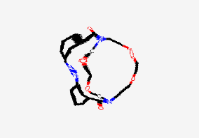 O=C1c2cccc(c2)/N=N/c2cccc(c2)C(=O)N2CCOCCOCCN1CCOCCOCC2